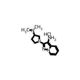 CN(C)C1CCN(c2nn3ccccc3c2N)C1.Cl